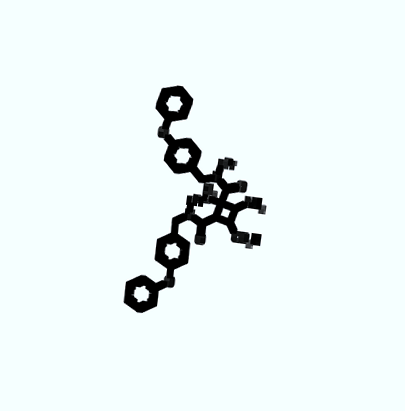 CCCN(Cc1ccc(Oc2ccccc2)cc1)C(=O)C1C(C(=O)O)C(N)C1(C)C(=O)N(CCC)Cc1ccc(Oc2ccccc2)cc1